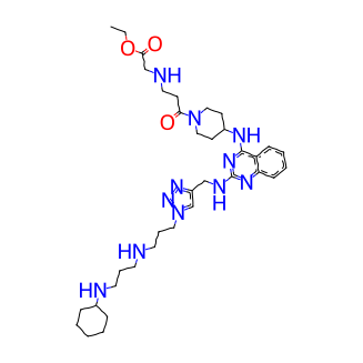 CCOC(=O)CNCCC(=O)N1CCC(Nc2nc(NCc3cn(CCCNCCCNC4CCCCC4)nn3)nc3ccccc23)CC1